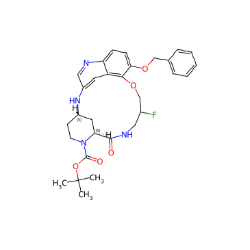 CC(C)(C)OC(=O)N1CC[C@H]2C[C@H]1C(=O)NCC(F)COc1c(OCc3ccccc3)ccc3ncc(cc13)N2